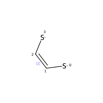 [S]/C=C\[S]